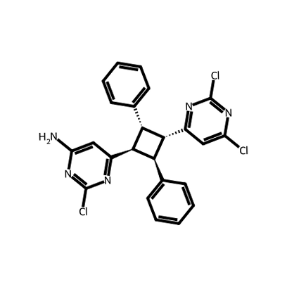 Nc1cc([C@H]2[C@H](c3ccccc3)[C@H](c3cc(Cl)nc(Cl)n3)[C@H]2c2ccccc2)nc(Cl)n1